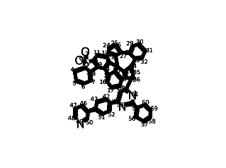 O=S1(=O)c2ccccc2-c2c1ccc1c2-c2ccccc2C12c1ccccc1-c1ccccc1-c1ccc(-c3cc(-c4ccc(-c5cccnc5)cc4)nc(-c4ccccc4)n3)cc12